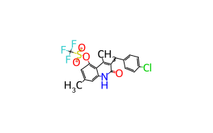 Cc1cc(OS(=O)(=O)C(F)(F)F)c2c(C)c(Cc3ccc(Cl)cc3)c(=O)[nH]c2c1